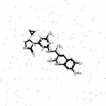 COc1cc2c(cc1Cl)C=C([C@H](C)Nc1nc(C)nc(N3C(=O)NC[C@@H]3C3CC3)n1)C(O)N2